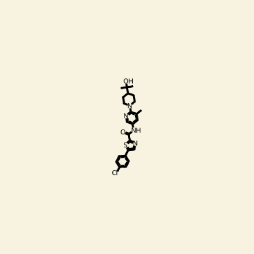 Cc1cc(NC(=O)c2ncc(-c3ccc(Cl)cc3)s2)cnc1N1CCC(C(C)(C)O)CC1